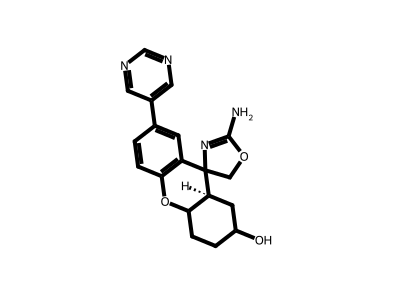 NC1=NC2(CO1)c1cc(-c3cncnc3)ccc1OC1CCC(O)C[C@@H]12